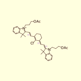 CC(=O)OCCCN1/C(=C/C=C2\CCCC(/C=C/C3=[N+](CCCOC(C)=O)c4ccccc4C3(C)C)=C2Cl)C(C)(C)c2ccccc21